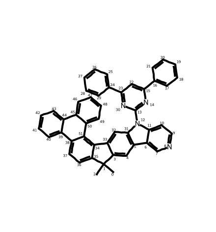 CC1(C)c2cc3c4cnccc4n(-c4nc(-c5ccccc5)cc(-c5ccccc5)n4)c3cc2-c2c1ccc1c3ccccc3c3ccccc3c21